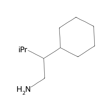 CC(C)C(CN)C1CCCCC1